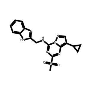 CS(=O)(=O)c1nc(NCc2nc3ccccc3[nH]2)n2ncc(C3CC3)c2n1